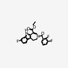 CCOC(=O)C1=CN(C(=O)c2cccc(F)c2F)CCc2c1[nH]c1cc(F)ccc21